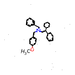 COc1ccc(CN(C=C(c2ccccc2)c2ccccc2)Cc2ccccc2)cc1